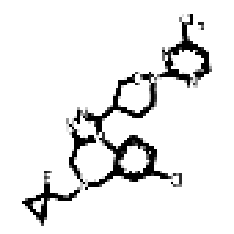 FC1(CN2Cc3cc(Cl)ccc3-n3c(nnc3C3CCN(c4nccc(C(F)(F)F)n4)CC3)C2)CC1